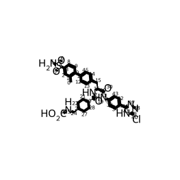 Cc1cc(S(N)(=O)=O)ccc1-c1ccc(C[C@H](NC(=O)[C@H]2CC[C@H](CNC(=O)O)CC2)C(=O)Nc2ccc(-c3nnc(Cl)[nH]3)cc2)cc1